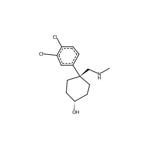 CNC[C@]1(c2ccc(Cl)c(Cl)c2)CC[C@@H](O)CC1